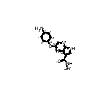 CC(C)NC(=O)c1c[nH]c2ncc(Oc3ccc(N)cc3)nc12